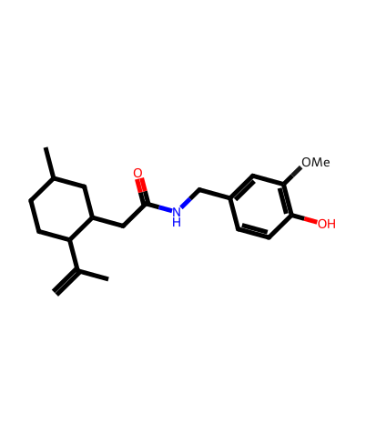 C=C(C)C1CCC(C)CC1CC(=O)NCc1ccc(O)c(OC)c1